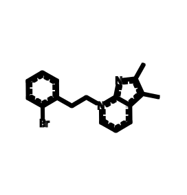 Cc1nc2n(CCc3ccccc3Br)cccc-2c1C